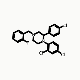 Fc1ccccc1CN1CCN(c2ccc(Cl)cc2Cl)C(c2ccc(Cl)cc2)C1